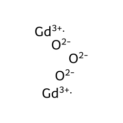 [Gd+3].[Gd+3].[O-2].[O-2].[O-2]